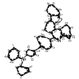 c1ccc(N(c2ccccc2)c2ccc(-c3ccc(-c4nc5ccccc5c5c4ccc4c6ccccc6oc45)cc3)cc2)cc1